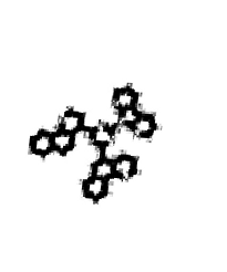 c1ccc2c(c1)ccc1c(-c3nc(-c4cc5ccccc5c5ncccc45)nc(-n4c5ncccc5c5cccnc54)n3)ccnc12